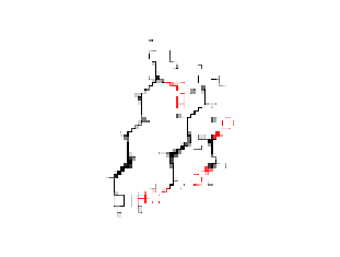 CC=CCCCC(C)O.CCCC=CCO.O=CC=O